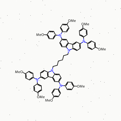 COc1ccc(N(c2ccc(OC)cc2)c2ccc3c(c2)c2cc(N(c4ccc(OC)cc4)c4ccc(OC)cc4)ccc2n3CCCCCCn2c3ccc(N(c4ccc(OC)cc4)c4ccc(OC)cc4)cc3c3cc(N(c4ccc(OC)cc4)c4ccc(OC)cc4)ccc32)cc1